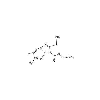 CCOC(=O)c1c(CC)nn2cc(F)c(N)cc12